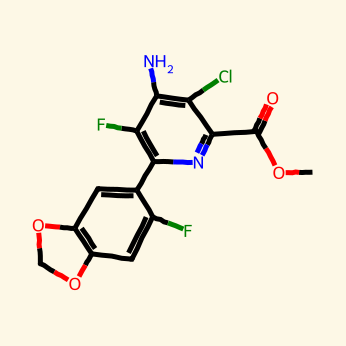 COC(=O)c1nc(-c2cc3c(cc2F)OCO3)c(F)c(N)c1Cl